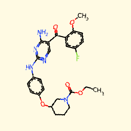 CCOC(=O)N1CCCC(Oc2ccc(Nc3ncc(C(=O)c4cc(F)ccc4OC)c(N)n3)cc2)C1